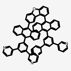 c1cc(-c2cc(-c3cccnc3)cc(-c3c4ccccc4c(-c4cccc5oc6ccc(-c7c8ccccc8c(-c8cc(-c9cccnc9)cc(-c9cccnc9)c8)c8ccccc78)cc6c45)c4ccccc34)c2)cnc#1